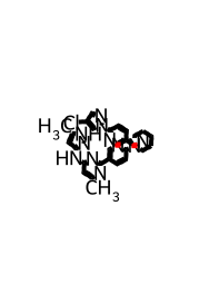 Cc1cc(Nc2cc(C)[nH]n2)nc(-c2ccc(N3CC4CC(C3)N4Cc3ccc(-n4cc(Cl)cn4)nc3)nc2)n1